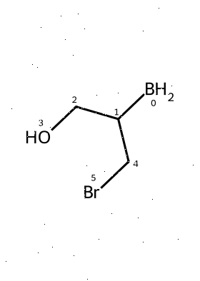 BC(CO)CBr